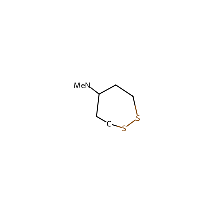 CNC1CCSSCC1